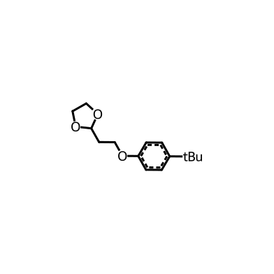 CC(C)(C)c1ccc(OCCC2OCCO2)cc1